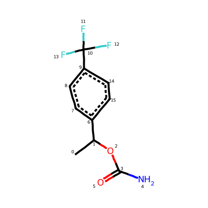 CC(OC(N)=O)c1ccc(C(F)(F)F)cc1